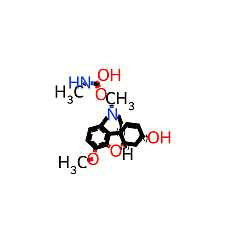 CNC(=O)O.COc1ccc2c3c1O[C@H]1C[C@@H](O)C=C[C@@]31CCN(C)C2